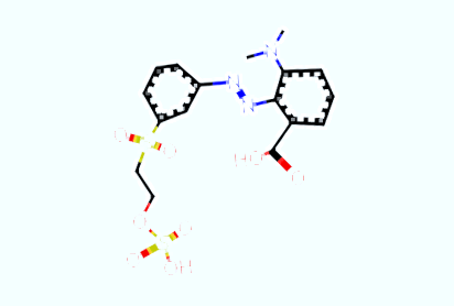 CN(C)c1cccc(C(=O)O)c1N=Nc1cccc(S(=O)(=O)CCOS(=O)(=O)O)c1